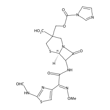 CON=C(C(=O)NC1C(=O)N2CC(COC(=O)n3ccnc3)(C(=O)O)CS[C@H]12)c1csc(NC=O)n1